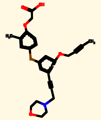 CC#CCOc1cc(C#CCN2CCOCC2)cc(Sc2ccc(OCC(=O)O)c(C)c2)c1